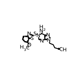 C#CCCCn1cnc2c1N=CN(Sc1nc3cccc(OC)c3s1)C2N